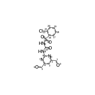 O=Cc1cc(C=O)nc(NC(=O)NS(=O)(=O)c2ccccc2Cl)n1